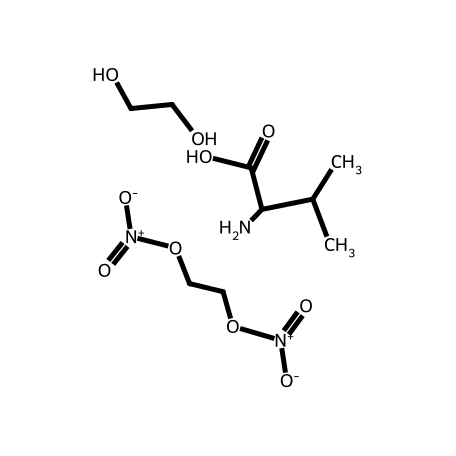 CC(C)C(N)C(=O)O.O=[N+]([O-])OCCO[N+](=O)[O-].OCCO